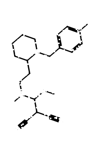 CNC(C(C#N)C#N)N(C)CCC1CCCCN1Cc1ccc(F)cc1